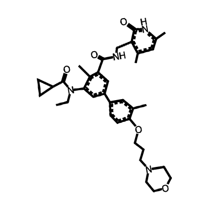 CCN(C(=O)C1CC1)c1cc(-c2ccc(OCCCN3CCOCC3)c(C)c2)cc(C(=O)NCc2c(C)cc(C)[nH]c2=O)c1C